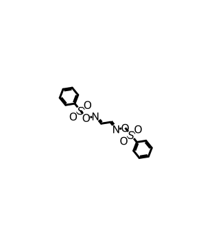 O=S(=O)(ON=CC=NOS(=O)(=O)c1ccccc1)c1ccccc1